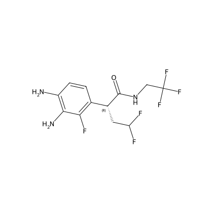 Nc1ccc([C@@H](CC(F)F)C(=O)NCC(F)(F)F)c(F)c1N